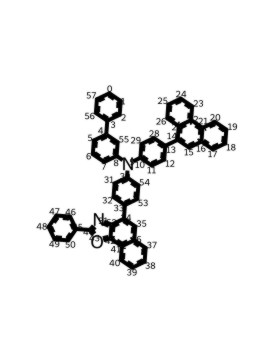 c1ccc(-c2cccc(N(c3ccc(-c4cc5ccccc5c5ccccc45)cc3)c3ccc(-c4cc5ccccc5c5oc(-c6ccccc6)nc45)cc3)c2)cc1